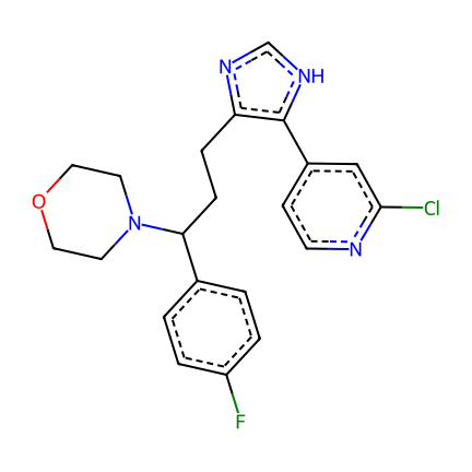 Fc1ccc(C(CCc2nc[nH]c2-c2ccnc(Cl)c2)N2CCOCC2)cc1